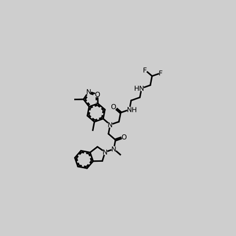 Cc1cc2c(C)noc2cc1N(CC(=O)NCCNCC(F)F)CC(=O)N(C)N1Cc2ccccc2C1